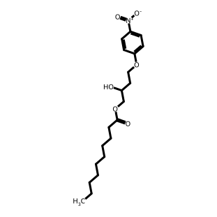 CCCCCCCCCC(=O)OCC(O)CCOc1ccc([N+](=O)[O-])cc1